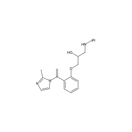 C=C(c1ccccc1OCC(O)CNC(C)C)n1ccnc1C